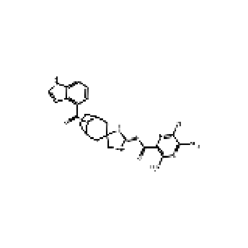 Nc1nc(N)c(C(=O)/N=C2\NCC3(CC4CCC(C3)N4C(=O)c3cccc4[nH]ccc34)N2)nc1Cl